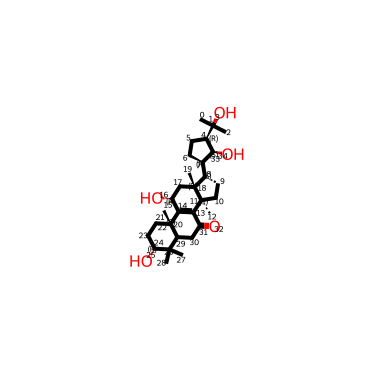 CC(C)(O)[C@@H]1CC[C@H]([C@@H]2CC[C@@]3(C)C4=C([C@H](O)C[C@]23C)[C@@]2(C)CC[C@@H](O)C(C)(C)C2CC4=O)[C@@H]1O